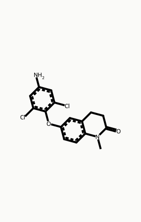 CN1C(=O)CCc2cc(Oc3c(Cl)cc(N)cc3Cl)ccc21